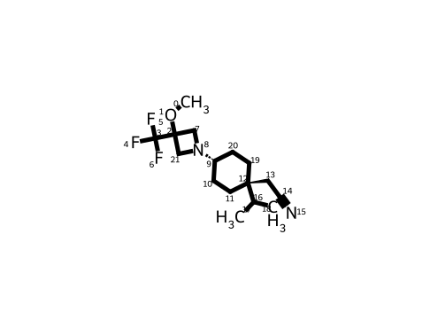 COC1(C(F)(F)F)CN([C@H]2CC[C@@](CC#N)(C(C)C)CC2)C1